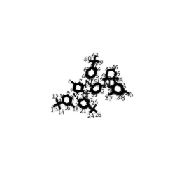 Cc1cc2c3c(c1)N(c1ccc(C(C)(C)C)cc1C)c1ccc(C(C)(C)C)cc1B3c1ccc(N3c4c(C)cc(C)cc4C4(C)CCCCC34C)cc1N2c1ccc(C(C)(C)C)cc1